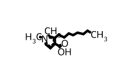 CCCCCCCCc1c(C(=O)O)cc[n+](C)c1C